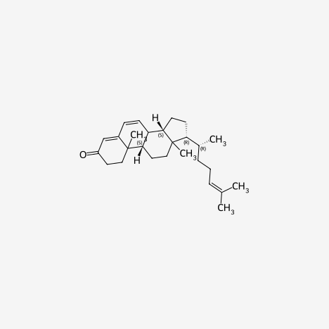 CC(C)=CCC[C@@H](C)[C@H]1CC[C@H]2C3C=CC4=CC(=O)CCC4(C)[C@H]3CCC12C